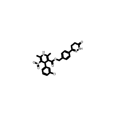 CC1=C(C(=O)OCc2ccc(C3=NNC(=O)CC3)cc2)C(c2cccc(Cl)c2)C([N+](=O)[O-])=C(C)N1